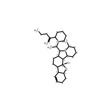 C=C(CCC)C1CCCCN1C(C)C1C2CCC3C4C=CCCC4O[C@H]3C2C2CCCC(C)N21